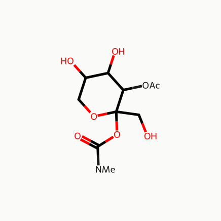 CNC(=O)OC1(CO)OCC(O)C(O)C1OC(C)=O